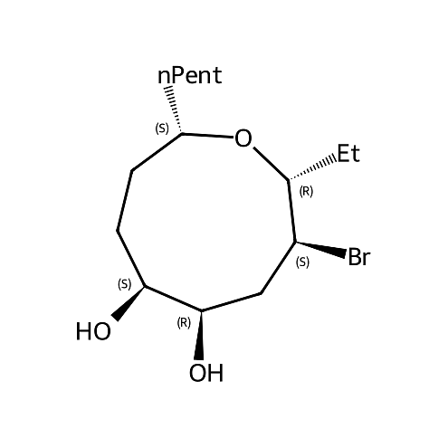 CCCCC[C@H]1CC[C@H](O)[C@H](O)C[C@H](Br)[C@@H](CC)O1